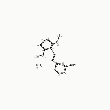 CCCc1cccc(C=Cc2c(OCC)cccc2OCC)c1.N